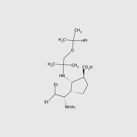 CCCC(C)(C)OCC(C)(C)N[C@H]1[C@@H]([C@H](NC(C)=O)C(CC)CC)CC[C@@H]1C(=O)O